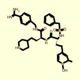 CC1C=C(CC[C@@H](NS(=O)(=O)Cc2ccccc2)C(=O)N[C@@H](CCC2CCNCC2)C(=O)NCc2ccc(C(=N)N)cc2)C=CN1O